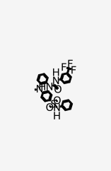 CN(c1ccccc1)c1ccc(S(=O)(=O)Nc2ccccc2)cc1NC(=O)Nc1cccc(C(F)(F)F)c1